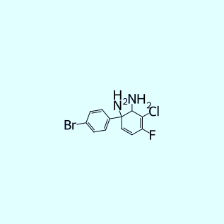 NC1C(Cl)=C(F)C=CC1(N)c1ccc(Br)cc1